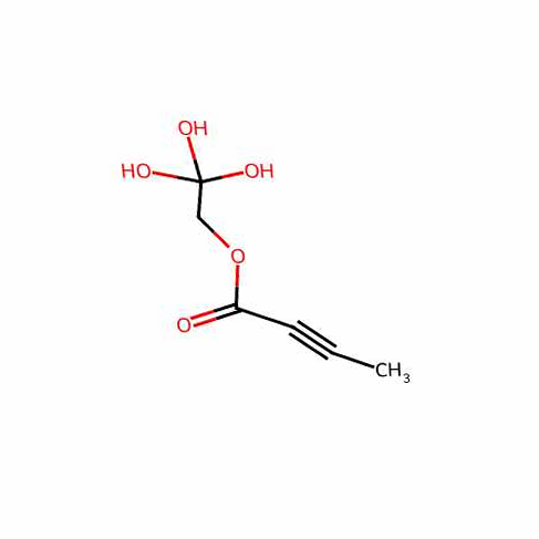 CC#CC(=O)OCC(O)(O)O